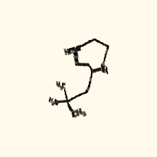 CC(C)(N)CC1CNCCN1